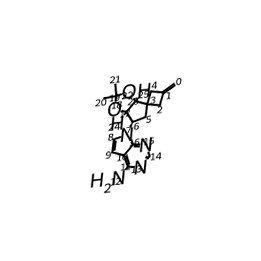 C=C1CC2(C1)C[C@@H](n1ccc3c(N)ncnc31)[C@@H]1OC(C)(C)O[C@@H]12